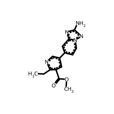 CCc1ncc(-c2ccn3nc(N)nc3c2)cc1C(=O)OC